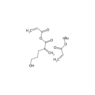 C=CC(=O)OC(=O)C(=C)CCCO.C=CC(=O)OCCCC